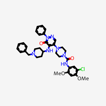 COc1cc(OC)c(NC(=O)N2CCN(c3cnn(-c4ccccc4)c(=O)c3NC3CCN(Cc4ccccc4)CC3)CC2)cc1Cl